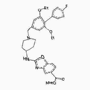 CCOc1cc(CN2CCC(Nc3nc4cc(C(=O)OC)ccc4o3)CC2)cc(OCC)c1-c1ccc(F)cc1